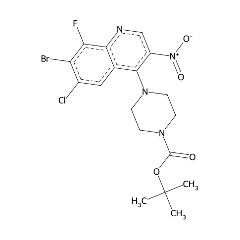 CC(C)(C)OC(=O)N1CCN(c2c([N+](=O)[O-])cnc3c(F)c(Br)c(Cl)cc23)CC1